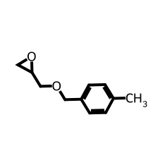 Cc1ccc(COCC2CO2)cc1